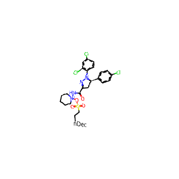 CCCCCCCCCCCCS(=O)(=O)O[N+]1(NC(=O)C2=NN(c3ccc(Cl)cc3Cl)[C@@H](c3ccc(Cl)cc3)C2)CCCCC1